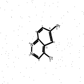 CCc1cnnc2ccc(C(C)C)cc12